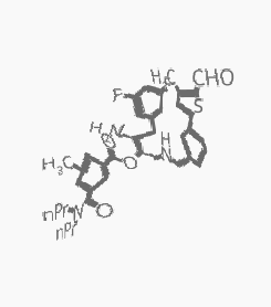 CCCN(CCC)C(=O)c1cc(C)cc(C(=O)O[C@H](CNCc2cccc(-c3cc(C)c(C=O)s3)c2)[C@@H](N)Cc2cc(F)cc(F)c2)c1